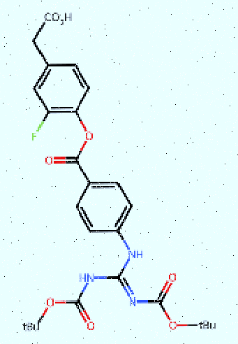 CC(C)(C)OC(=O)/N=C(/NC(=O)OC(C)(C)C)Nc1ccc(C(=O)Oc2ccc(CC(=O)O)cc2F)cc1